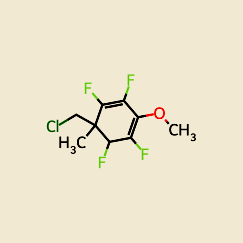 COC1=C(F)C(F)C(C)(CCl)C(F)=C1F